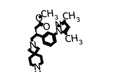 COC(=O)C[C@H](CN1CC2(CCNCC2)C1)c1cccc(-n2nc(C)cc2C)c1